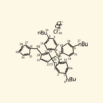 CCCCc1ccc([Si](c2ccc(CCCC)cc2)(c2ccc(CCCC)cc2)[C]2([Ti+3])C=CC(Cc3ccccc3)=C2)cc1.[Cl-].[Cl-].[Cl-]